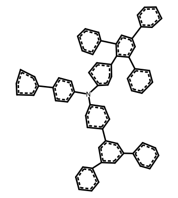 c1ccc(-c2ccc(N(c3ccc(-c4cc(-c5ccccc5)cc(-c5ccccc5)c4)cc3)c3ccc(-c4c(-c5ccccc5)cc(-c5ccccc5)cc4-c4ccccc4)cc3)cc2)cc1